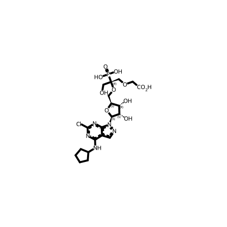 O=C(O)COC[C@](CO)(OC[C@@H]1O[C@H](n2ncc3c(NC4CCCC4)nc(Cl)nc32)[C@@H](O)[C@H]1O)P(=O)(O)O